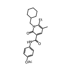 CCc1c(C)cc(C(=O)Nc2ccc(OC(C)=O)cc2)c(=O)n1CC1CCCCC1